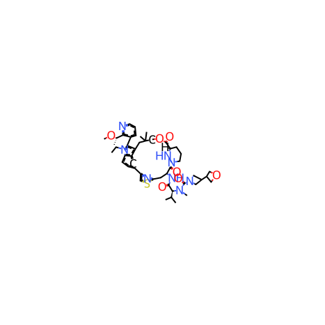 CCn1c(-c2cccnc2[C@H](C)OC)c2c3cc(ccc31)-c1csc(n1)C[C@H](NC(=O)[C@H](C(C)C)N(C)C(=O)N1CC(C3COC3)C1)C(=O)N1CCC[C@H](N1)C(=O)OCC(C)(C)C2